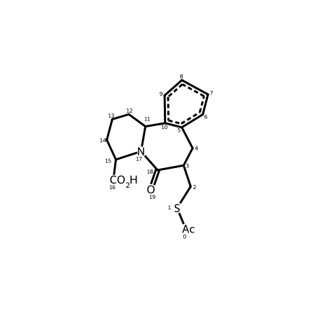 CC(=O)SCC1Cc2ccccc2C2CCCC(C(=O)O)N2C1=O